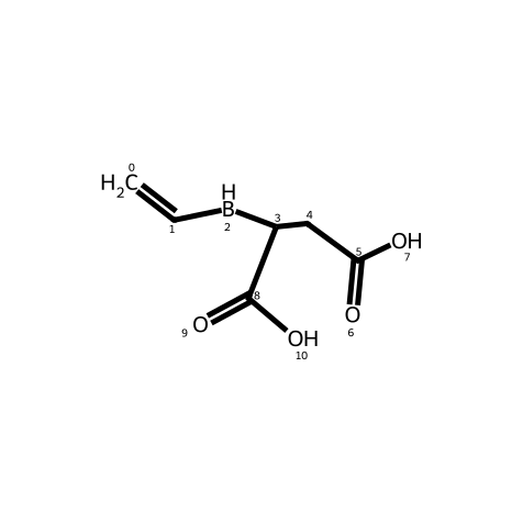 C=CBC(CC(=O)O)C(=O)O